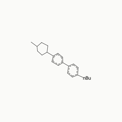 CCCCc1ccc(-c2ccc(C3CCC(C)CC3)cc2)cc1